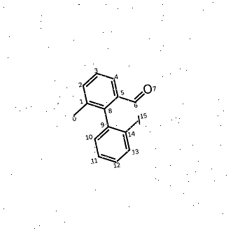 Cc1cccc(C=O)c1-c1ccccc1I